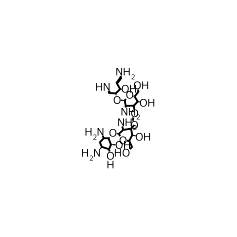 N=C[C@@H](O[C@H]1OC(CO)[C@@H](O)C(OCOC2C(N)[C@H](O[C@H]3C(N)C[C@H](N)C(O)[C@@H]3O)OC(CO)[C@@H]2O)C1N)[C@H](O)/C=C/N